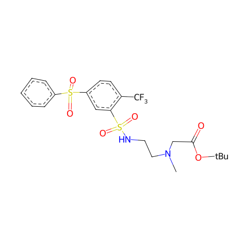 CN(CCNS(=O)(=O)c1cc(S(=O)(=O)c2ccccc2)ccc1C(F)(F)F)CC(=O)OC(C)(C)C